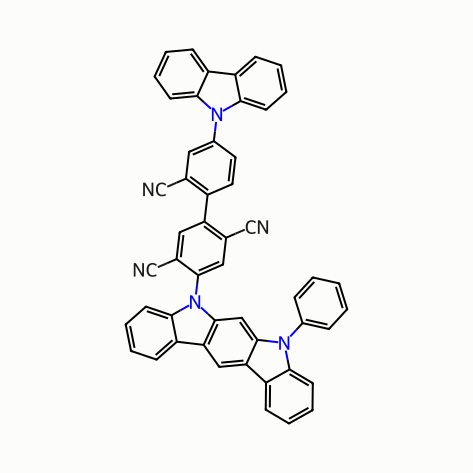 N#Cc1cc(-n2c3ccccc3c3ccccc32)ccc1-c1cc(C#N)c(-n2c3ccccc3c3cc4c5ccccc5n(-c5ccccc5)c4cc32)cc1C#N